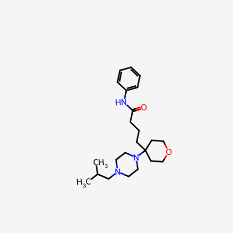 CC(C)CN1CCN(C2(CCCC(=O)Nc3ccccc3)CCOCC2)CC1